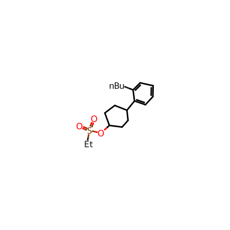 CCCCc1ccccc1C1CCC(OS(=O)(=O)CC)CC1